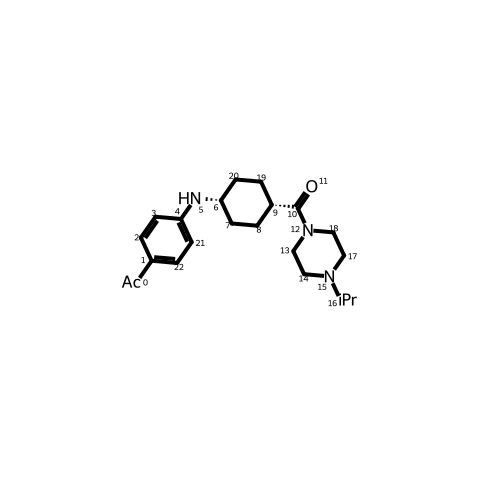 CC(=O)c1ccc(N[C@H]2CC[C@@H](C(=O)N3CCN(C(C)C)CC3)CC2)cc1